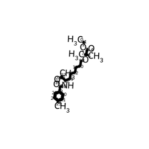 CCOC(=O)C(C)(C)OCCCCCCC(NC(=O)c1ccc(C)cc1)C(C)=O